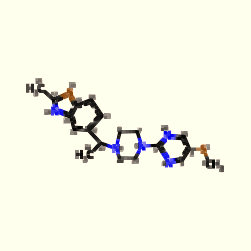 CSc1cnc(N2CCN(C(C)c3ccc4sc(C)nc4c3)CC2)nc1